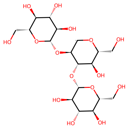 OC[C@H]1O[C@@H](O[C@H]2[C@H](O)[C@@H](CO)O[CH][C@@H]2O[C@@H]2O[C@H](CO)[C@@H](O)[C@H](O)[C@H]2O)[C@H](O)[C@@H](O)[C@@H]1O